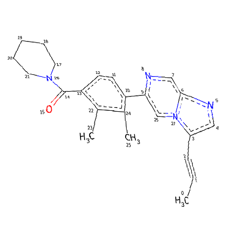 CC#Cc1cnc2cnc(-c3ccc(C(=O)N4CCCCC4)c(C)c3C)cn12